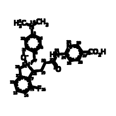 CN(C)c1ccc(C[N+]2([O-])Cc3cccc(F)c3C2CCC(=O)Nc2ccc(C(=O)O)cn2)cc1